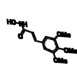 COc1cc(/C=C/C(=O)NO)cc(OC)c1OC